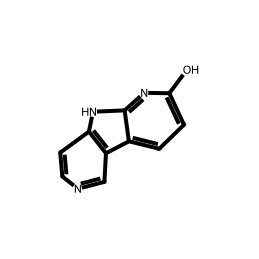 Oc1ccc2c(n1)[nH]c1ccncc12